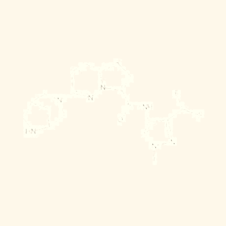 Cn1cc(NC(=O)c2ccc3ccc(N4CC5CNC(C5)C4)nn23)c(C(F)F)n1